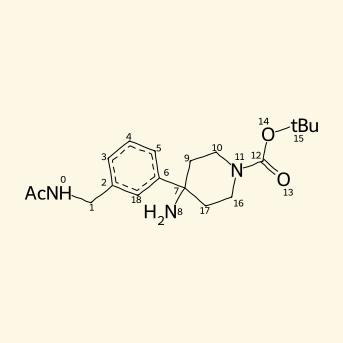 CC(=O)NCc1cccc(C2(N)CCN(C(=O)OC(C)(C)C)CC2)c1